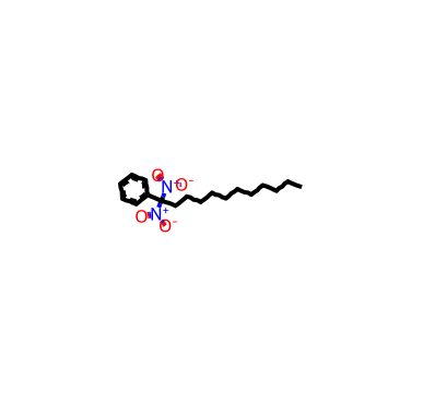 CCCCCCCCCCCC(c1ccccc1)([N+](=O)[O-])[N+](=O)[O-]